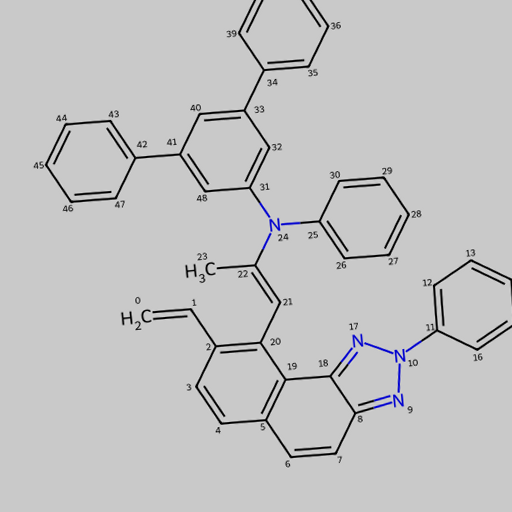 C=Cc1ccc2ccc3nn(-c4ccccc4)nc3c2c1/C=C(\C)N(c1ccccc1)c1cc(-c2ccccc2)cc(-c2ccccc2)c1